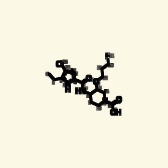 CCc1[nH]c(C(=O)NC2CCN(C(=O)O)CC2OCCCF)nc1Cl